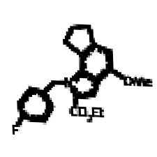 CCOC(=O)c1cc2c(OC)cc3c(c2n1Cc1ccc(F)cc1)CCC3